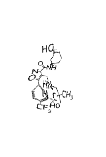 CC(C)(CO)CNCc1c(C(=O)N[C@@H]2CCC[C@H](O)C2)noc1-c1ccc(C(F)(F)F)cc1